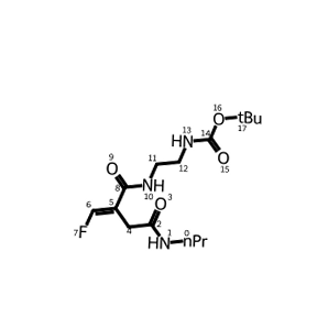 CCCNC(=O)C/C(=C\F)C(=O)NCCNC(=O)OC(C)(C)C